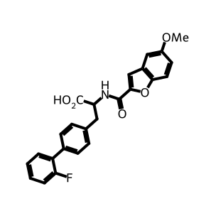 COc1ccc2oc(C(=O)NC(Cc3ccc(-c4ccccc4F)cc3)C(=O)O)cc2c1